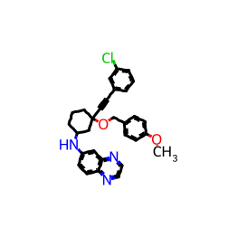 COc1ccc(COC2(C#Cc3cccc(Cl)c3)CCCC(Nc3ccc4nccnc4c3)C2)cc1